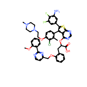 COc1ccccc1-c1nccc(COc2ccccc2CC(Oc2ncnc3sc(-c4cc(N)c(F)c(F)c4)c(-c4ccc(OCCN5CCN(C)CC5)c(Cl)c4C)c23)C(=O)O)n1